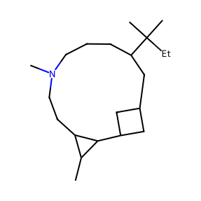 CCC(C)(C)C1CCCN(C)CCC2C(C)C2C2CC(C2)C1